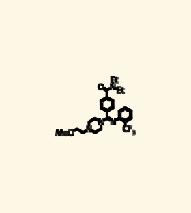 CCN(CC)C(=O)c1ccc(/C(=N\c2ccccc2C(F)(F)F)N2CCN(CCOC)CC2)cc1